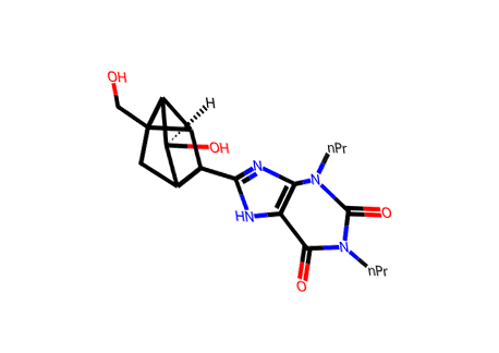 CCCn1c(=O)c2[nH]c(C3C4CC5(CO)C3C5[C@H]4O)nc2n(CCC)c1=O